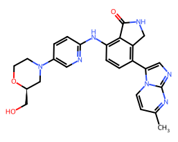 Cc1ccn2c(-c3ccc(Nc4ccc(N5CCO[C@H](CO)C5)cn4)c4c3CNC4=O)cnc2n1